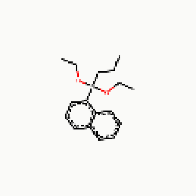 CCC[Si](OCC)(OCC)c1cccc2ccccc12